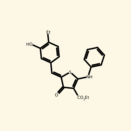 CCOC(=O)C1=C(Nc2ccccc2)S/C(=C\c2ccc(CC)c(O)c2)C1=O